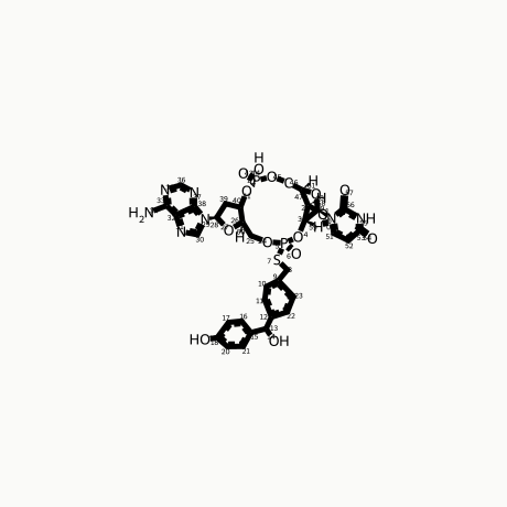 CO[C@H]1[C@H]2OP(=O)(SCc3ccc(C(O)c4ccc(O)cc4)cc3)OC[C@H]3O[C@@H](n4cnc5c(N)ncnc54)CC3OP(=O)(O)OC[C@H]1O[C@H]2n1ccc(=O)[nH]c1=O